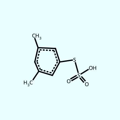 Cc1cc(C)cc(SS(=O)(=O)O)c1